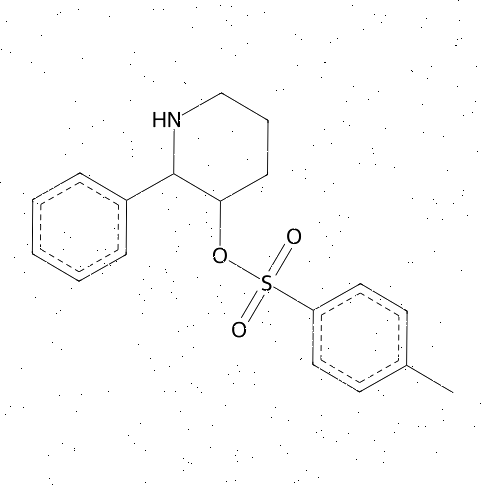 Cc1ccc(S(=O)(=O)OC2CCCNC2c2ccccc2)cc1